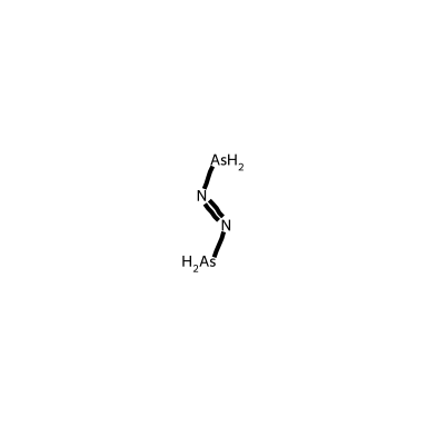 [AsH2]N=N[AsH2]